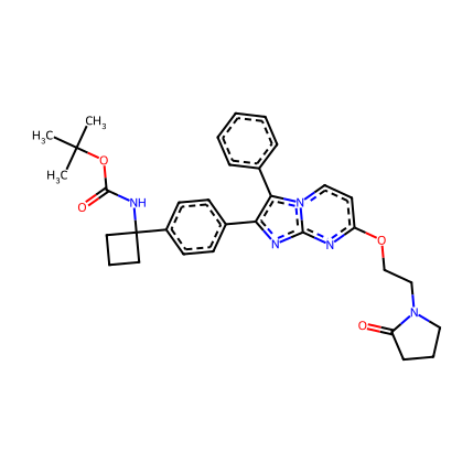 CC(C)(C)OC(=O)NC1(c2ccc(-c3nc4nc(OCCN5CCCC5=O)ccn4c3-c3ccccc3)cc2)CCC1